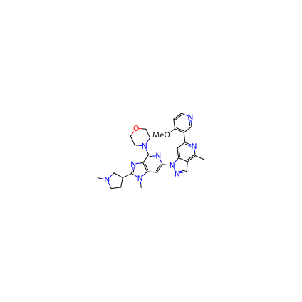 COc1ccncc1-c1cc2c(cnn2-c2cc3c(nc(C4CCN(C)C4)n3C)c(N3CCOCC3)n2)c(C)n1